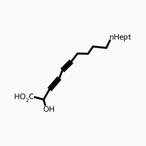 CCCCCCCCCCCC#CC#CC(O)C(=O)O